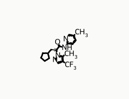 Cc1ccc(NC(=O)[C@H](CC2CCCC2)n2ncc(C(F)(F)F)c2C)nc1